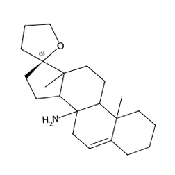 CC12CCCCC1=CCC1(N)C2CCC2(C)C1CC[C@]21CCCO1